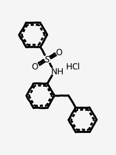 Cl.O=S(=O)(Nc1ccccc1Cc1ccccc1)c1ccccc1